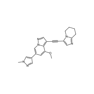 COc1cc(-c2cnn(C)c2)cn2ncc(C#Cc3cnc4n3CCCC4)c12